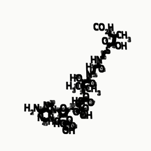 CC(CC(=O)O)=C(O)C(=O)SCCNC(=O)CCNC(=O)[C@H](O)C(C)(C)COP(=O)(O)OP(=O)(O)OC[C@H]1O[C@@H](n2cnc3c(N)ncnc32)[C@H](O)[C@@H]1OP(=O)(O)O